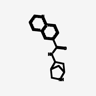 O=C(NC1CC2CC1CN2)c1ccc2ncccc2c1